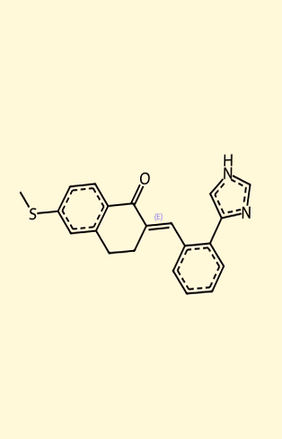 CSc1ccc2c(c1)CC/C(=C\c1ccccc1-c1c[nH]cn1)C2=O